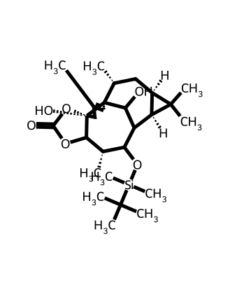 CC1=C[C@]23C(O)C(C(O[Si](C)(C)C(C)(C)C)[C@H](C)C4OC(=O)O[C@]42[C@H]1O)[C@H]1[C@@H](C[C@H]3C)C1(C)C